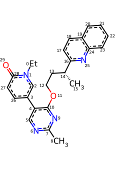 CCn1cc(-c2cnc(C)nc2OCC[C@@H](C)c2ccc3ccccc3n2)ccc1=O